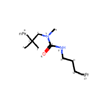 CCCC(C)(C)CN(C)C(=O)NCCCC(C)C